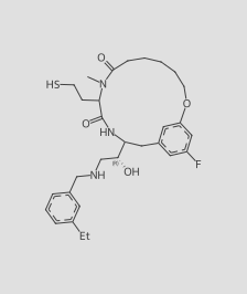 CCc1cccc(CNC[C@@H](O)C2Cc3cc(F)cc(c3)OCCCCCC(=O)N(C)C(CCS)C(=O)N2)c1